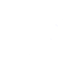 CN1CCN(CCCc2ccccc2)CC1